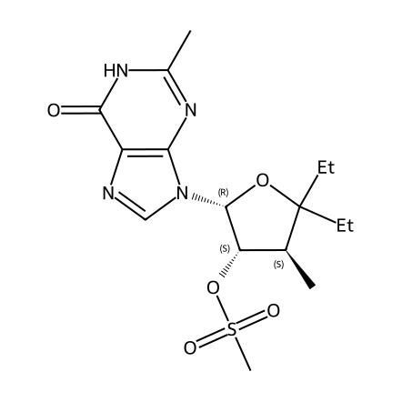 CCC1(CC)O[C@@H](n2cnc3c(=O)[nH]c(C)nc32)[C@@H](OS(C)(=O)=O)[C@@H]1C